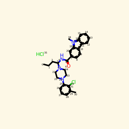 CCCC(NC(=O)c1ccc2c3ccccc3n(C)c2c1)N1CCN(c2cccc(C)c2Cl)CC1.Cl